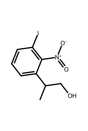 C[C](CO)c1cccc(I)c1[N+](=O)[O-]